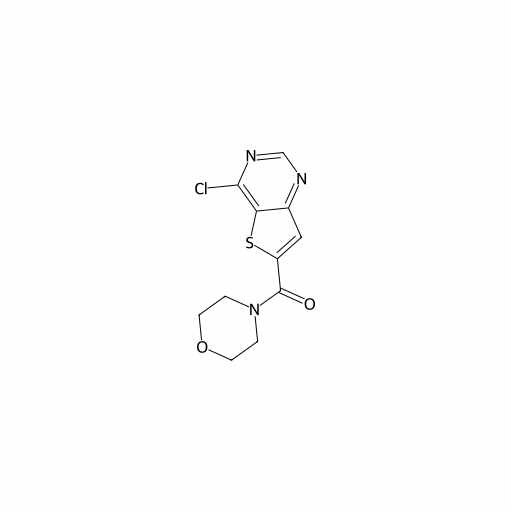 O=C(c1cc2ncnc(Cl)c2s1)N1CCOCC1